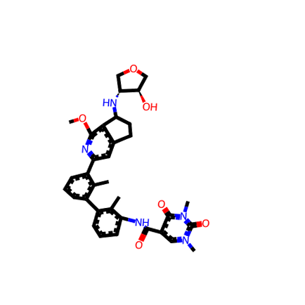 COc1nc(-c2cccc(-c3cccc(NC(=O)c4cn(C)c(=O)n(C)c4=O)c3C)c2C)cc2c1C(N[C@@H]1COC[C@H]1O)CC2